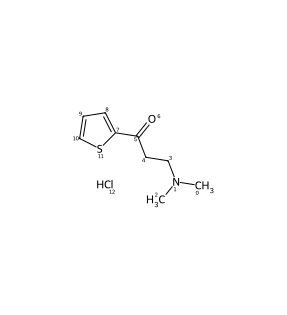 CN(C)CCC(=O)c1cccs1.Cl